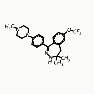 CN1CCN(c2ccc(C3=NNC(C)(C)Cc4cc(OC(F)(F)F)ccc43)cc2)CC1